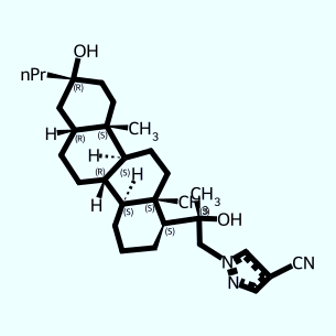 CCC[C@@]1(O)CC[C@@]2(C)[C@H](CC[C@@H]3[C@@H]2CC[C@@]2(C)[C@H]3CCC[C@@H]2[C@](C)(O)Cn2cc(C#N)cn2)C1